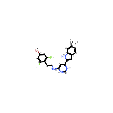 O=C(O)c1ccc2cc(-c3cc(NCCc4c(F)cc(Br)cc4F)ncn3)[nH]c2c1